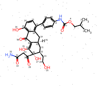 CC(C)COC(=O)Nc1ccc(-c2ccc(O)c3c2C[C@H]2C[C@@H](CCO)[C@@](O)(C(=O)CC(N)=O)C(O)=C2C3=O)cc1